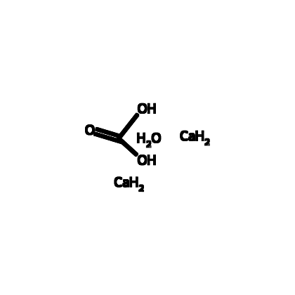 O.O=C(O)O.[CaH2].[CaH2]